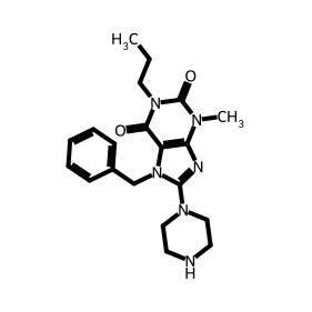 CCCn1c(=O)c2c(nc(N3CCNCC3)n2Cc2ccccc2)n(C)c1=O